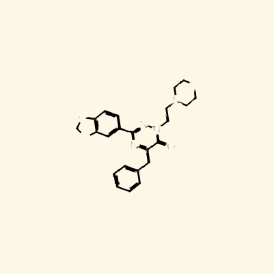 O=c1c(Cc2ccccc2)nc(-c2ccc3c(c2)OCO3)nn1CCN1CCOCC1